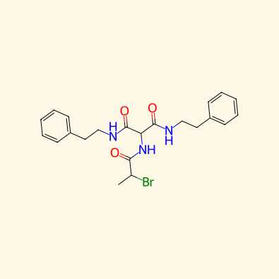 CC(Br)C(=O)NC(C(=O)NCCc1ccccc1)C(=O)NCCc1ccccc1